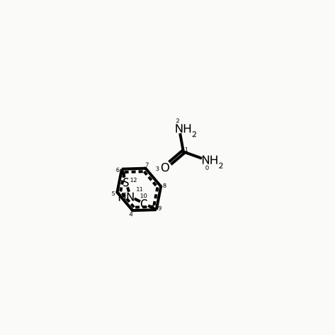 NC(N)=O.c1cc2ccc1CNS2